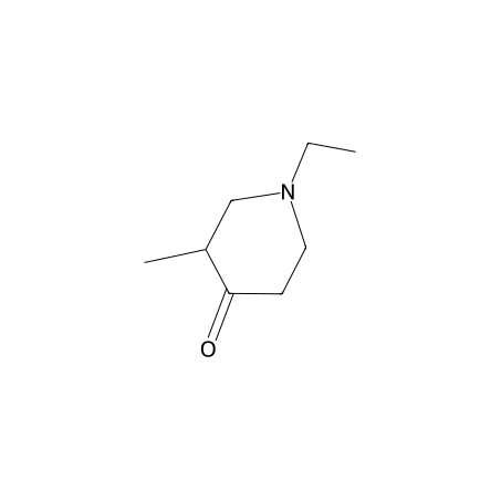 CCN1CCC(=O)C(C)C1